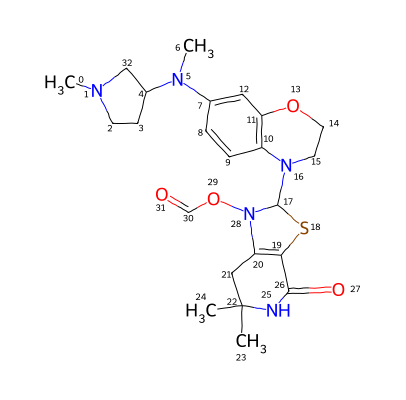 CN1CCC(N(C)c2ccc3c(c2)OCCN3C2SC3=C(CC(C)(C)NC3=O)N2OC=O)C1